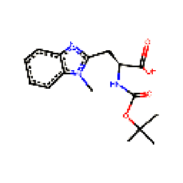 Cn1c(C[C@H](NC(=O)OC(C)(C)C)C(=O)O)nc2ccccc21